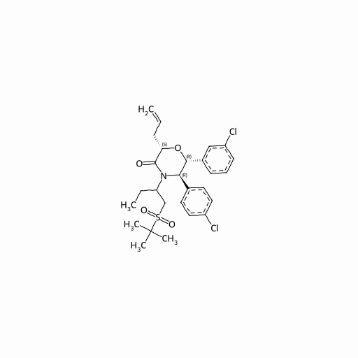 C=CC[C@@H]1O[C@H](c2cccc(Cl)c2)[C@@H](c2ccc(Cl)cc2)N(C(CC)CS(=O)(=O)C(C)(C)C)C1=O